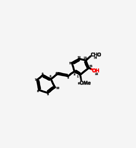 COc1c(C=Cc2ccccc2)ccc(C=O)c1O